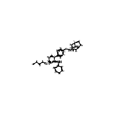 CCCCNc1ncc(-c2ccc(CNC3CC4CCC(C3)N4C)cn2)c(NC2CCCCC2)n1